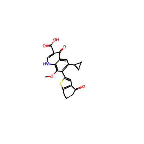 COc1c(-c2cc3c(s2)CCCC3=O)c(C2CC2)cc2c(=O)c(C(=O)O)c[nH]c12